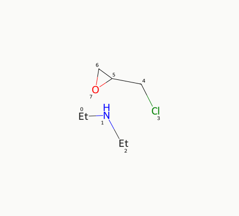 CCNCC.ClCC1CO1